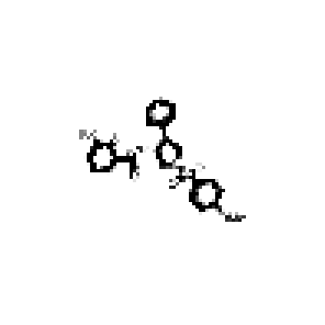 COc1ccc(S(=O)(=O)N2C[C@H](NC(=O)c3cccc(C(F)(F)F)c3Cl)[C@@H](c3ccccc3)C2)cc1